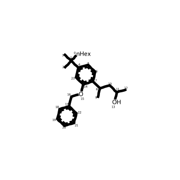 CCCCCCC(C)(C)c1ccc(C(C)CC(C)O)c(OCc2ccccc2)c1